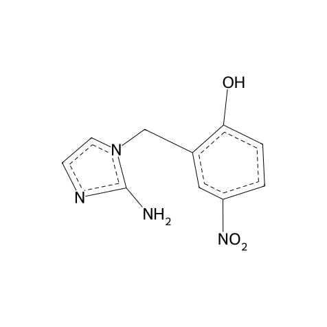 Nc1nccn1Cc1cc([N+](=O)[O-])ccc1O